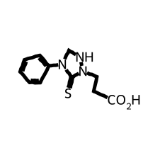 O=C(O)CCN1NCN(c2ccccc2)C1=S